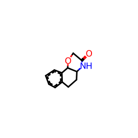 O=C1COC2c3ccccc3CCC2N1